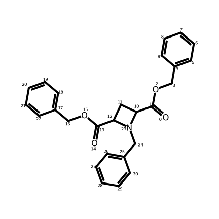 O=C(OCc1ccccc1)C1CC(C(=O)OCc2ccccc2)N1Cc1ccccc1